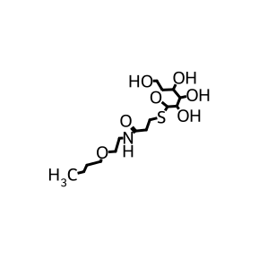 CCCCOCCNC(=O)CCSC1OC(CO)C(O)C(O)C1O